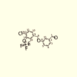 O=Cc1cccc(OCc2ccc(Cl)c(OC(F)(F)F)c2)c1